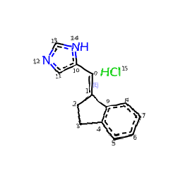 C(=C1/CCc2ccccc21)/c1cnc[nH]1.Cl